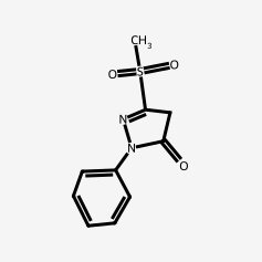 CS(=O)(=O)C1=NN(c2ccccc2)C(=O)C1